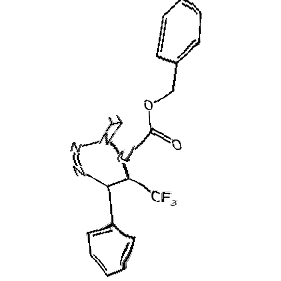 O=C(OCc1ccccc1)N1NN=NC(c2ccccc2)C1C(F)(F)F